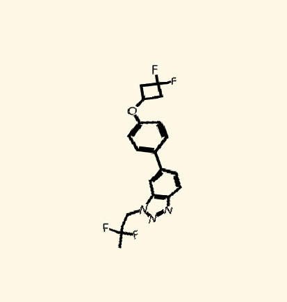 CC(F)(F)Cn1nnc2ccc(-c3ccc(OC4CC(F)(F)C4)cc3)cc21